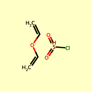 C=COC=C.O=[SH](=O)Cl